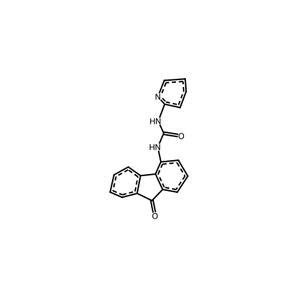 O=C(Nc1ccccn1)Nc1cccc2c1-c1ccccc1C2=O